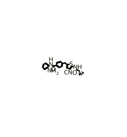 CN(C)CC(=O)Nc1sc(Cc2ccc(C(=O)Nc3ccccc3N)cc2)cc1C#N